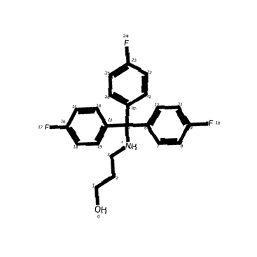 OCCCNC(c1ccc(F)cc1)(c1ccc(F)cc1)c1ccc(F)cc1